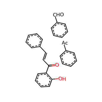 CC(=O)c1ccccc1.O=C(/C=C/c1ccccc1)c1ccccc1O.O=Cc1ccccc1